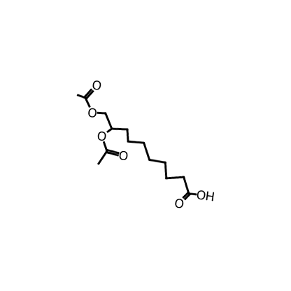 CC(=O)OCC(CCCCCCCC(=O)O)OC(C)=O